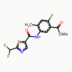 COC(=O)c1cc(NC(=O)c2cnc(C(F)F)s2)c(C)cc1F